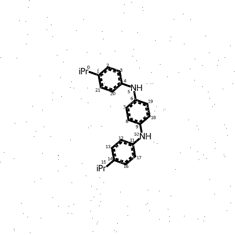 CC(C)c1ccc(Nc2ccc(Nc3ccc(C(C)C)cc3)cc2)cc1